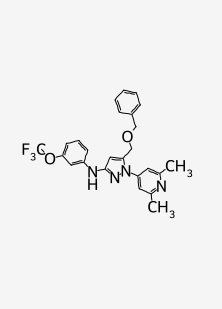 Cc1cc(-n2nc(Nc3cccc(OC(F)(F)F)c3)cc2COCc2ccccc2)cc(C)n1